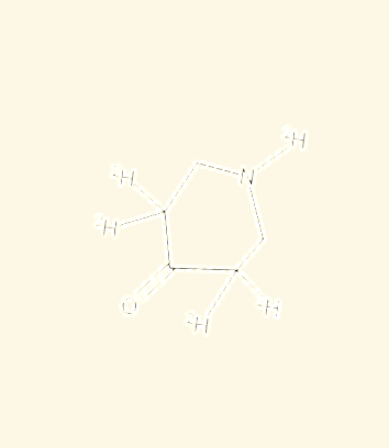 [2H]N1CC([2H])([2H])C(=O)C([2H])([2H])C1